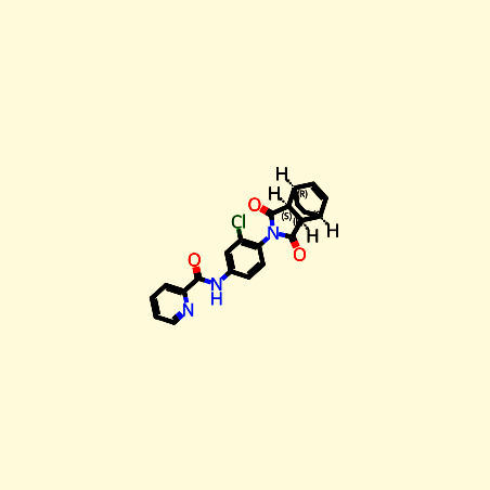 O=C(Nc1ccc(N2C(=O)[C@@H]3[C@H](C2=O)[C@@H]2C=C[C@H]3CC2)c(Cl)c1)c1ccccn1